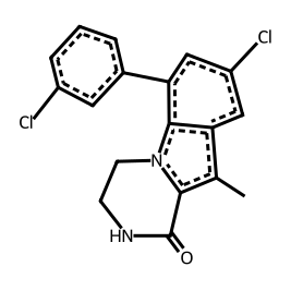 Cc1c2n(c3c(-c4cccc(Cl)c4)cc(Cl)cc13)CCNC2=O